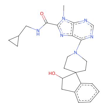 Cn1c(C(=O)NCC2CC2)nc2c(N3CCC4(CC3)c3ccccc3CC4O)ncnc21